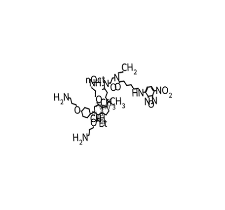 C=CCN(CC(=O)N(CCCCCCCC)CCC[C@@H](C)[C@H]1CC[C@H]2C([C@@H](CC)OCCCN)[C@@H]([C@]3(C)CC[C@H](OCCCN)CC3)C[C@H](OCCCN)[C@]12C)C(=O)CCCCCNc1ccc([N+](=O)[O-])c2nonc12